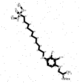 CCCCCC[C@H](C)COc1ccc(OCCCCCCCCCCCP(=O)(OCC)OCC)c(F)c1F